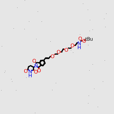 CC(C)(C)OC(=O)NCCOCCOCCOCCOC/C=C/c1ccc2c(c1)C(=O)N(C1CCC(=O)NC1=O)C2=O